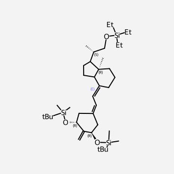 C=C1[C@H](O[Si](C)(C)C(C)(C)C)CC(=C/C=C2\CCC[C@@]3(C)C2CCC3[C@H](C)CO[Si](CC)(CC)CC)C[C@H]1O[Si](C)(C)C(C)(C)C